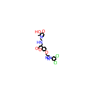 Cc1c(O)c(=O)ccn1CCNCc1cc(=O)oc2cc(OCc3cn(-c4cc(Cl)cc(Cl)c4)nn3)ccc12